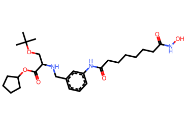 CC(C)(C)OCC(NCc1cccc(NC(=O)CCCCCCC(=O)NO)c1)C(=O)OC1CCCC1